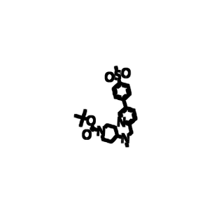 CN(Cc1ccc(-c2ccc(S(C)(=O)=O)cc2)cn1)C1CCN(C(=O)OC(C)(C)C)CC1